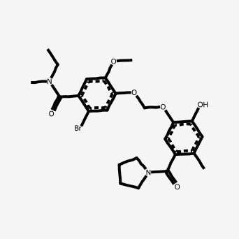 CCN(C)C(=O)c1cc(OC)c(OCOc2cc(C(=O)N3CCCC3)c(C)cc2O)cc1Br